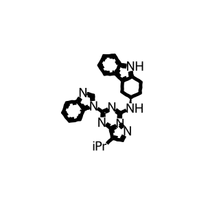 CC(C)c1cnn2c(N[C@@H]3CCc4[nH]c5ccccc5c4C3)nc(-n3cnc4ccccc43)nc12